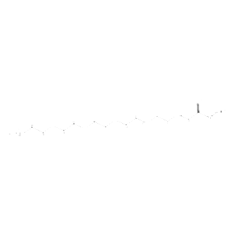 CCCNC(=O)COCCOCCOCCOCCOCCNC(C)=O